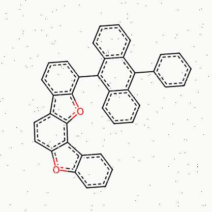 c1ccc(-c2c3ccccc3c(-c3cccc4c3oc3c4ccc4oc5ccccc5c43)c3ccccc23)cc1